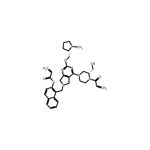 C=CC(=O)Oc1ccc2ccccc2c1CN1Cc2nc(OC[C@@H]3CCCN3C)nc(N3CCN(C(=O)C=C)[C@@H](CC#N)C3)c2C1